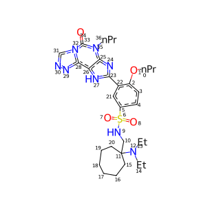 CCCOc1ccc(S(=O)(=O)NCC2(N(CC)CC)CCCCCC2)cc1-c1nc2c([nH]1)c1nncn1c(=O)n2CCC